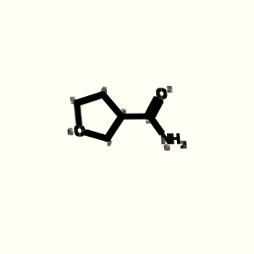 NC(=O)C1CCOC1